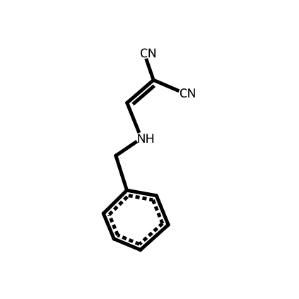 N#CC(C#N)=CNCc1ccccc1